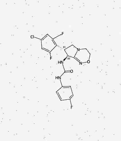 O=C(Nc1ccc(F)cc1)N[C@@H]1C2=NOCCN2C[C@H]1c1c(F)cc(Cl)cc1F